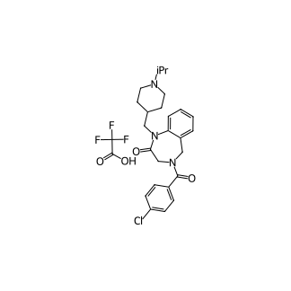 CC(C)N1CCC(CN2C(=O)CN(C(=O)c3ccc(Cl)cc3)Cc3ccccc32)CC1.O=C(O)C(F)(F)F